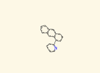 c1ccc(-c2cccc3cc4ccccc4cc23)nc1